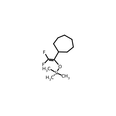 C[Si](C)(C)OC(=C(F)F)C1CCCCCC1